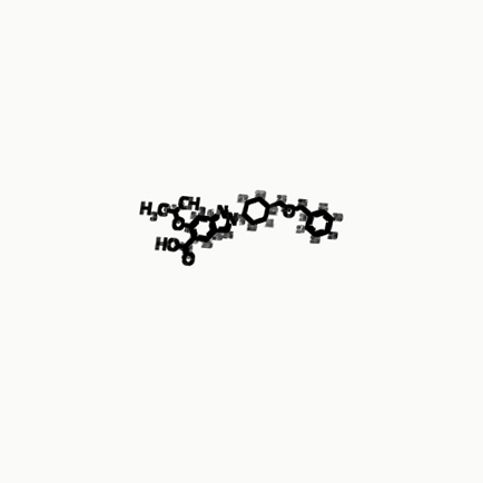 CC(C)Oc1cc2nn([C@H]3CC[C@H](COCc4ccccc4)CC3)cc2cc1C(=O)O